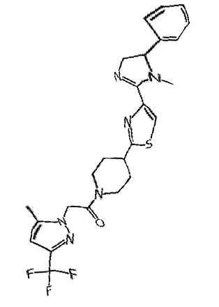 Cc1cc(C(F)(F)F)nn1CC(=O)N1CCC(c2nc(C3=NCC(c4ccccc4)N3C)cs2)CC1